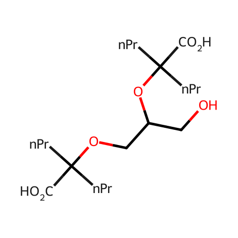 CCCC(CCC)(OCC(CO)OC(CCC)(CCC)C(=O)O)C(=O)O